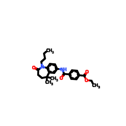 CCCCN1C(=O)CCC(C)(C)c2cc(NC(=O)c3ccc(C(=O)OCC)cc3)ccc21